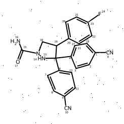 N#Cc1ccc(C2(c3ccc(C#N)cc3)NN(C(N)=O)CC2c2ccc(F)cc2)cc1